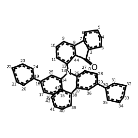 O=C1c2ccccc2-c2cccc(N(c3cccc(-c4ccccc4)c3)c3ccc(-c4ccccc4)cc3-c3ccccc3)c21